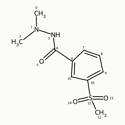 CN(C)NC(=O)c1cccc(S(C)(=O)=O)c1